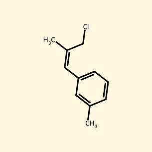 CC(=Cc1cccc(C)c1)CCl